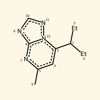 CCC(CC)c1cc(C)nc2ncnn12